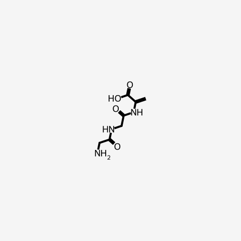 C=C(NC(=O)CNC(=O)CN)C(=O)O